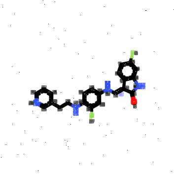 O=C1Nc2cc(F)ccc2/C1=C\Nc1ccc(NCCc2cccnc2)c(F)c1